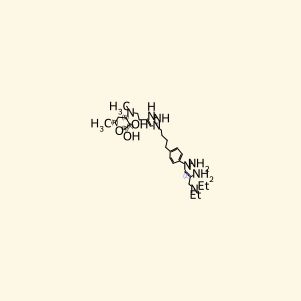 CCN(CC)C/C(N)=C/N(N)c1ccc(CCCCN2C=C(CCN(C)[C@H]3C[C@@H](C)O[C@@H](O)[C@@H]3O)NN2)cc1